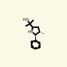 C[C@H]1CC(C(C)(C)O)N[C@@H]1c1ccccc1